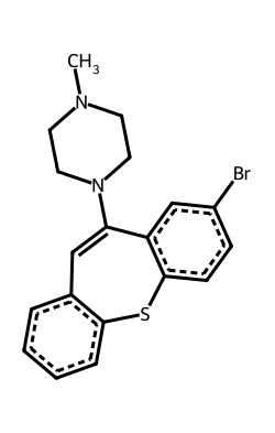 CN1CCN(C2=Cc3ccccc3Sc3ccc(Br)cc32)CC1